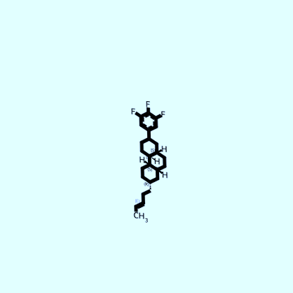 C/C=C/CC[C@@H]1CC[C@H]2[C@H](CC[C@H]3CC(c4cc(F)c(F)c(F)c4)CC[C@@H]32)C1